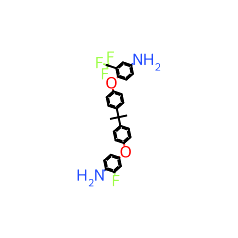 CC(C)(c1ccc(Oc2ccc(N)c(F)c2)cc1)c1ccc(Oc2ccc(N)cc2C(F)(F)F)cc1